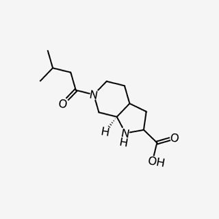 CC(C)CC(=O)N1CCC2CC(C(=O)O)N[C@H]2C1